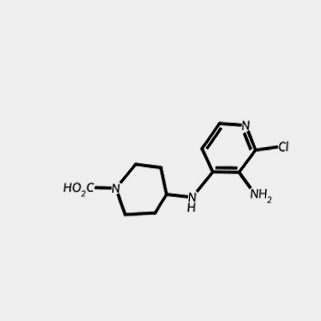 Nc1c(NC2CCN(C(=O)O)CC2)ccnc1Cl